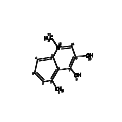 Cc1cccc2c1c(O)c(O)c[n+]2C